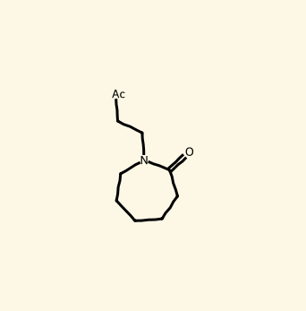 CC(=O)CCN1CCCCCC1=O